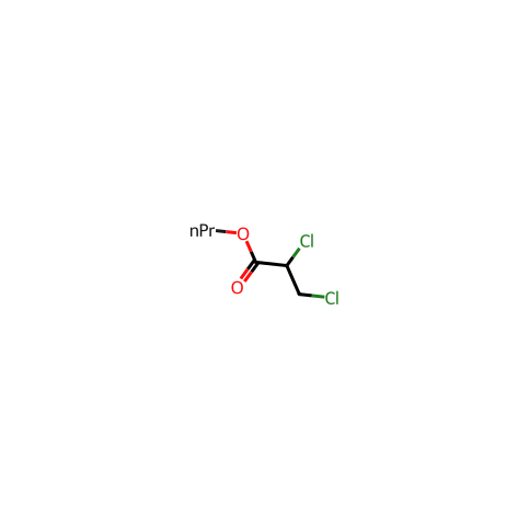 CCCOC(=O)C(Cl)CCl